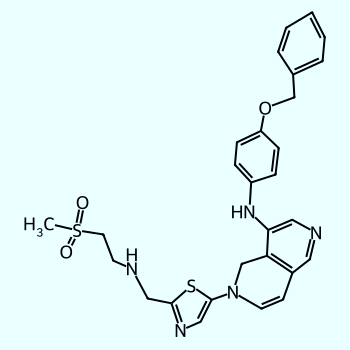 CS(=O)(=O)CCNCc1ncc(N2C=Cc3cncc(Nc4ccc(OCc5ccccc5)cc4)c3C2)s1